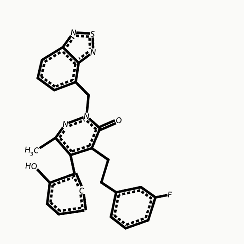 Cc1nn(Cc2cccc3nsnc23)c(=O)c(CCc2cccc(F)c2)c1-c1ccccc1O